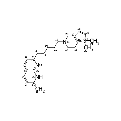 C=C1C=Cc2ccc(CCCCCN3CCC4=C(C=CS4(C)C)C3)nc2N1